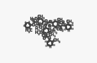 Cc1ccccc1OC(=O)N1C(C)(C)CC(OP(=O)(OC2CC(C)(C)N(C(=O)Oc3ccccc3C)C(C)(C)C2)OC2CC(C)(C)N(C(=O)Oc3ccccc3C)C(C)(C)C2)CC1(C)C